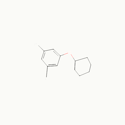 CC(C)c1cc(OC2CCCCC2)cc(C(F)(F)F)c1